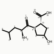 CC(C)C[C@H](N)C(=O)N1CC(O)C[C@H]1C(=O)O